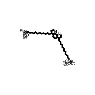 CCO[Si](CCCCCCCCCCCCc1ccnc2c1ccc1c(CCCCCCCCCCCC[Si](OCC)(OCC)OCC)ccnc12)(OCC)OCC